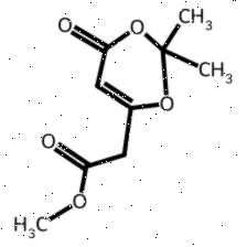 COC(=O)CC1=CC(=O)OC(C)(C)O1